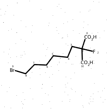 O=C(O)C(F)(CCCCCCBr)C(=O)O